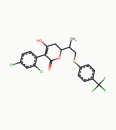 CC(CSc1ccc(C(F)(F)F)cc1)C1CC(O)=C(c2ccc(Cl)cc2Cl)C(=O)O1